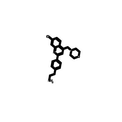 NCCc1ccc(-c2cc(CN3CCOCC3)c3ccc(Cl)cc3n2)cc1